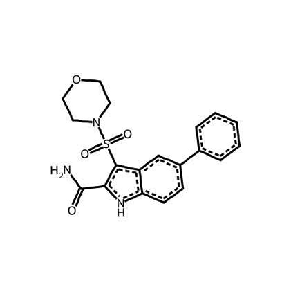 NC(=O)c1[nH]c2ccc(-c3ccccc3)cc2c1S(=O)(=O)N1CCOCC1